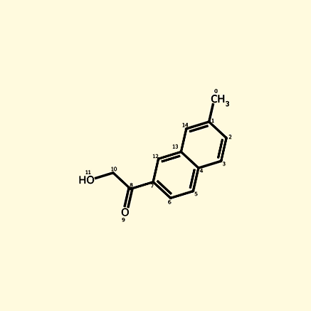 Cc1ccc2ccc(C(=O)CO)cc2c1